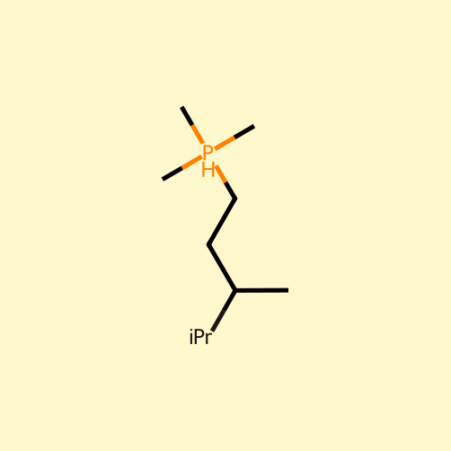 CC(C)C(C)CC[PH](C)(C)C